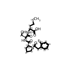 CSCC[C@H](NC(=O)[C@H](CO)NC(=O)[C@@H]1CCCN1C(=O)Cc1ccccc1F)C(=O)O